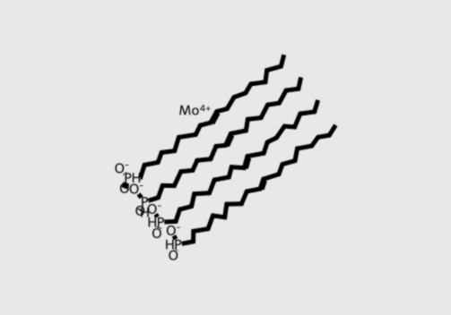 CCCCCCCCC=CCCCCCCCC[PH](=O)[O-].CCCCCCCCC=CCCCCCCCC[PH](=O)[O-].CCCCCCCCC=CCCCCCCCC[PH](=O)[O-].CCCCCCCCC=CCCCCCCCC[PH](=O)[O-].[Mo+4]